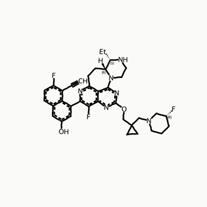 C#Cc1c(F)ccc2cc(O)cc(-c3nc4c5c(nc(OCC6(CN7CCC[C@@H](F)C7)CC6)nc5c3F)N3CCN[C@@H](CC)[C@H]3CC4)c12